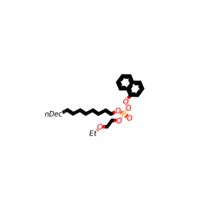 CCCCCCCCCCCCCCCCCCOP(=O)(OCCOCC)OOc1cccc2ccccc12